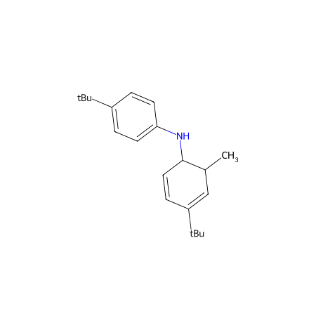 CC1C=C(C(C)(C)C)C=CC1Nc1ccc(C(C)(C)C)cc1